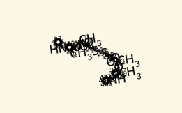 Cc1cc(Nc2ccccc2)ccc1OCC(C)OC(=O)CCSCCSCCC(=O)OC(C)COc1ccc(Nc2ccccc2)cc1C